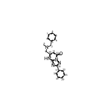 CN(Cc1ccccc1)Cc1cc(=O)n2nc(-c3ccccc3)nc2[nH]1